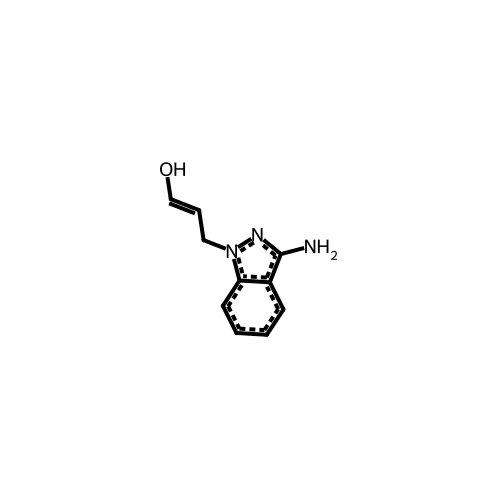 Nc1nn(CC=CO)c2ccccc12